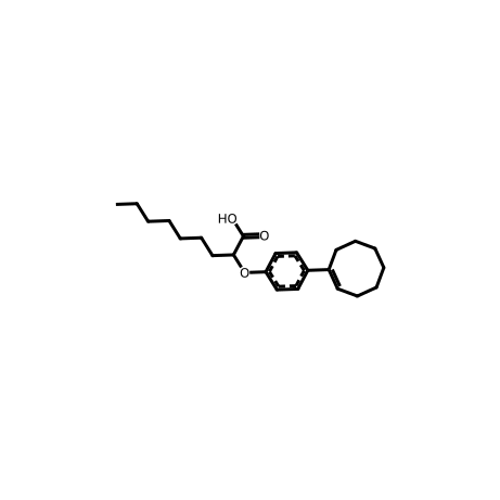 CCCCCCCC(Oc1ccc(C2=CCCCCCC2)cc1)C(=O)O